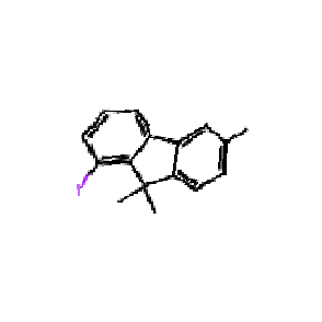 Cc1ccc2c(c1)-c1cccc(I)c1C2(C)C